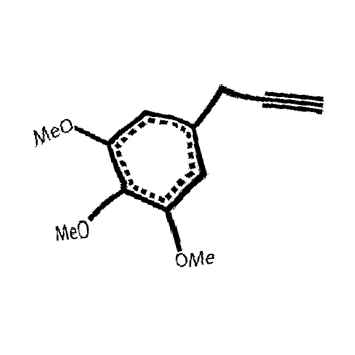 C#CCc1cc(OC)c(OC)c(OC)c1